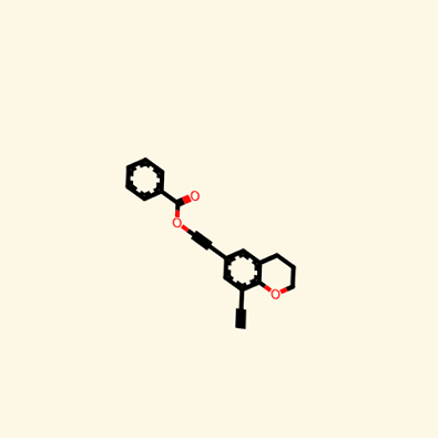 C#Cc1cc(C#COC(=O)c2ccccc2)cc2c1OCCC2